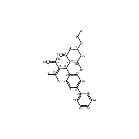 CCCC1CC(=O)C(C(C(C(C)=O)=C(C)C)c2ccc(-c3ccccc3)cc2)=C(C)C1